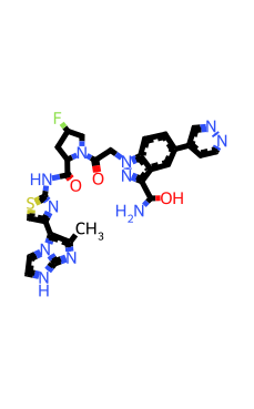 Cc1nc2[nH]ccn2c1-c1csc(NC(=O)C2CC(F)CN2C(=O)Cn2nc(C(N)O)c3cc(-c4ccnnc4)ccc32)n1